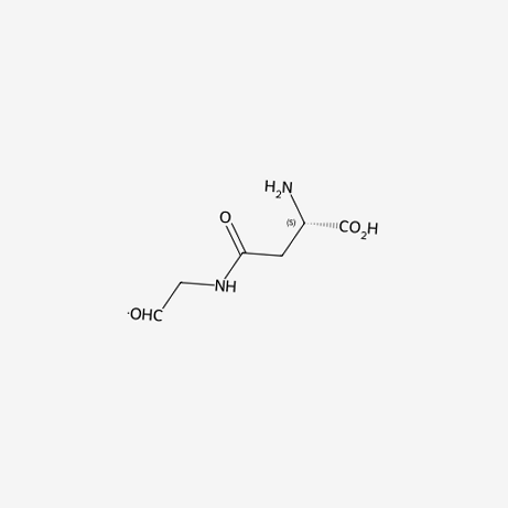 N[C@@H](CC(=O)NC[C]=O)C(=O)O